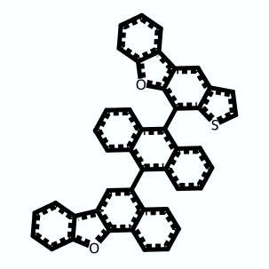 c1ccc2c(c1)oc1c(-c3c4ccccc4c(-c4cc5c6ccccc6oc5c5ccccc45)c4ccccc34)c3sccc3cc12